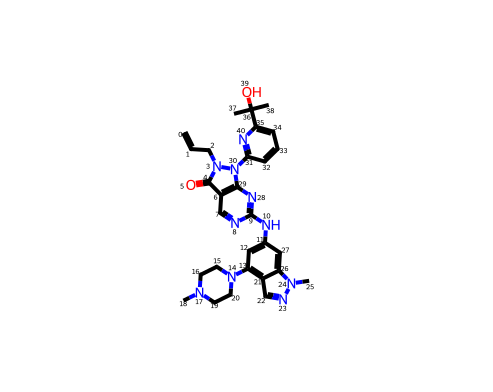 C=CCn1c(=O)c2cnc(Nc3cc(N4CCN(C)CC4)c4cnn(C)c4c3)nc2n1-c1cccc(C(C)(C)O)n1